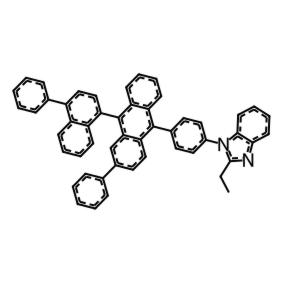 CCc1nc2ccccc2n1-c1ccc(-c2c3ccccc3c(-c3ccc(-c4ccccc4)c4ccccc34)c3cc(-c4ccccc4)ccc23)cc1